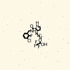 O=C(O)C(F)(F)F.[N-]=[N+]=N[C@H]1CCN[C@@H]1C(=O)NCc1cccc(Cl)c1F